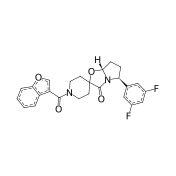 O=C(c1coc2ccccc12)N1CCC2(CC1)O[C@@H]1CC[C@@H](c3cc(F)cc(F)c3)N1C2=O